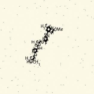 COc1cnc2c(-c3nc4cc(F)c(OC[C@@H](C)OC(=O)Nc5ccnc(OCCC(C)(C)O)c5)nc4s3)cc(C)cc2n1